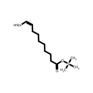 CCCCCC/C=C\CCCCCCCC(=O)O[Si](C)(C)C